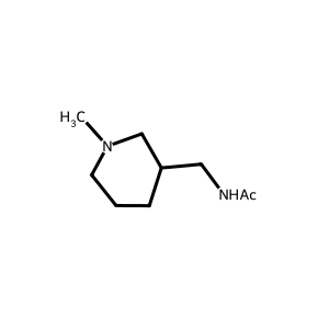 CC(=O)NCC1CCCN(C)C1